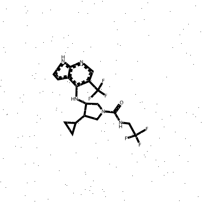 O=C(NCC(F)(F)F)N1CC(Nc2c(C(F)(F)F)cnc3[nH]ccc23)C(C2CC2)C1